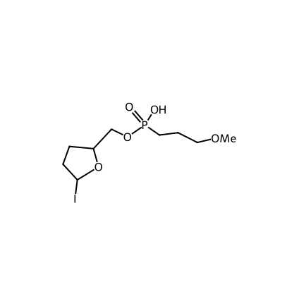 COCCCP(=O)(O)OCC1CCC(I)O1